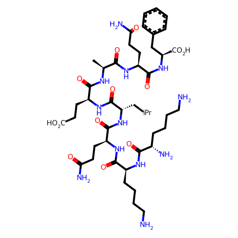 CC(C)C[C@H](NC(=O)[C@H](CCC(N)=O)NC(=O)[C@H](CCCCN)NC(=O)[C@@H](N)CCCCN)C(=O)N[C@@H](CCC(=O)O)C(=O)N[C@@H](C)C(=O)N[C@@H](CCC(N)=O)C(=O)N[C@@H](Cc1ccccc1)C(=O)O